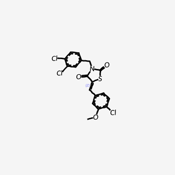 COc1cc(/C=C2\SC(=O)N(Cc3ccc(Cl)c(Cl)c3)C2=O)ccc1Cl